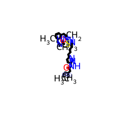 C=C(Cc1ccc(C)c(CN(C)C(C)=O)c1)Nc1nnc(CCCCc2ccc(NC(=O)CC(/C=C\C)=C/C)nn2)s1